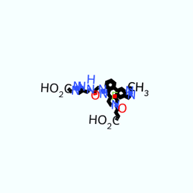 Cn1ncc2cc(F)c(-c3cccc4c3c(C3CCN(C(=O)CCC(=O)O)CC3)nn4CC(=O)NCc3cn(CC(=O)O)nn3)cc21